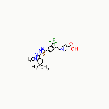 Cn1nc(-c2nnc(-c3ccc(CCN4CCC(C(=O)O)CC4)c(C(F)(F)F)c3)s2)c2c1CC(C)(C)CC2